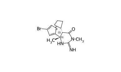 CN1C(=N)N[C@](C)(c2cc(Br)cs2)[C@H](C2CCC2)C1=O